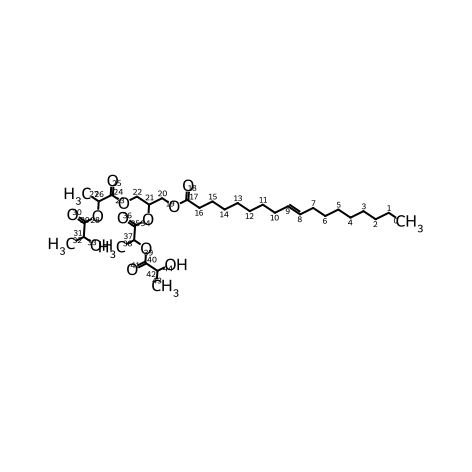 CCCCCCCC/C=C/CCCCCCCC(=O)OCC(COC(=O)C(C)OC(=O)C(C)O)OC(=O)C(C)OC(=O)C(C)O